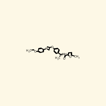 CCOc1ccc(N2CC(Oc3ccc([C@H](C)NC(=O)c4ccc(C)o4)cc3)C2)cc1